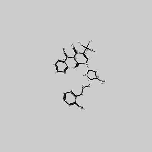 Cc1ccccc1COC[C@@H]1O[C@H](n2cc(C(F)(F)F)c(=O)n(C(=O)c3ccccc3)c2=O)CC1O